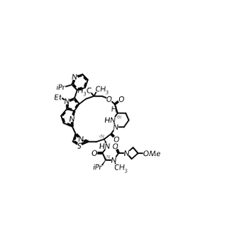 CCn1c(-c2cccnc2C(C)C)c2c3nc(ccc31)-c1csc(n1)C[C@H](NC(=O)[C@H](C(C)C)N(C)C(=O)N1CC(OC)C1)C(=O)N1CCC[C@H](N1)C(=O)OCC(C)(C)C2